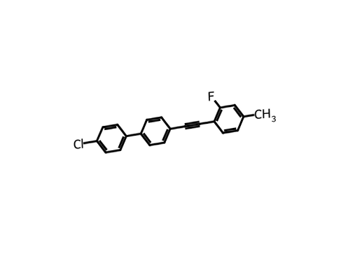 Cc1ccc(C#Cc2ccc(-c3ccc(Cl)cc3)cc2)c(F)c1